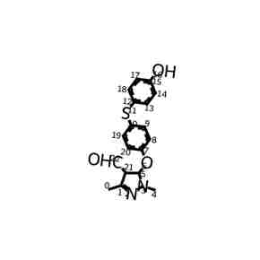 CC1=NN(C)C(Oc2ccc(Sc3ccc(O)cc3)cc2)C1C=O